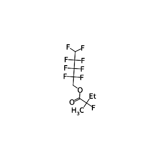 CCC(C)(F)C(=O)OCC(F)(F)C(F)(F)C(F)(F)C(F)F